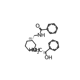 O=C(NC[C@H]1CCCNC1)c1ccccc1.O=C(O)[C@@H](O)c1ccccc1